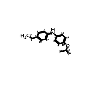 [CH2]Cc1ccc(Nc2ccc(OC(F)F)cc2)cc1